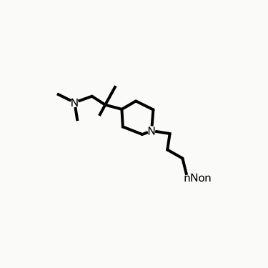 CCCCCCCCCCCCN1CCC(C(C)(C)CN(C)C)CC1